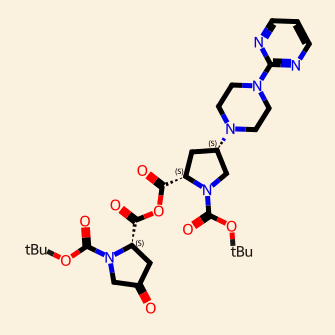 CC(C)(C)OC(=O)N1CC(=O)C[C@H]1C(=O)OC(=O)[C@@H]1C[C@H](N2CCN(c3ncccn3)CC2)CN1C(=O)OC(C)(C)C